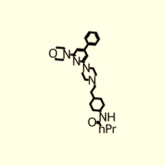 CCCC(=O)NC1CCC(CCN2CCN(c3cc(-c4ccccc4)cc(N4CCOCC4)n3)CC2)CC1